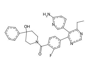 CCc1ncnc(-c2ccc(C(=O)N3CCC(O)(c4ccccc4)CC3)c(F)c2)c1-c1ccc(N)nc1